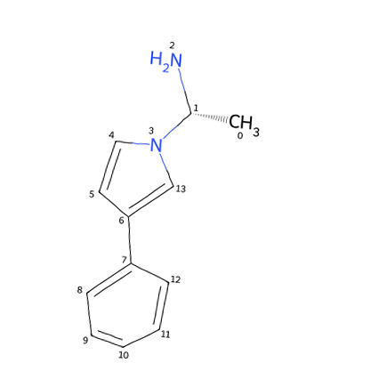 C[C@@H](N)n1ccc(-c2ccccc2)c1